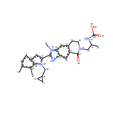 Cc1ccc2cc(-c3nc4cc5c(cc4n3C)CCN(CC(C)NC(=O)O)C5=O)n(CC3CC3)c2c1C